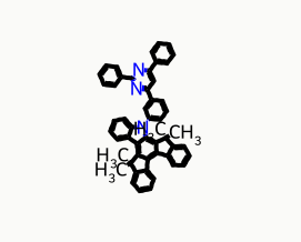 CC1(C)c2ccccc2-c2c3c(c4c(c21)c1ccccc1n4-c1cccc(-c2cc(-c4ccccc4)nc(-c4ccccc4)n2)c1)C(C)(C)c1ccccc1-3